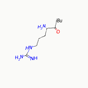 CCC(C)C(=O)[C@@H](N)CCCNC(=N)N